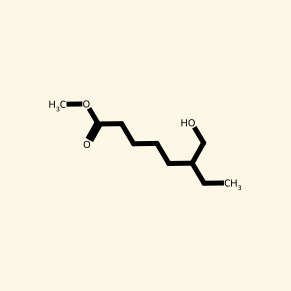 CCC(CO)CCCCC(=O)OC